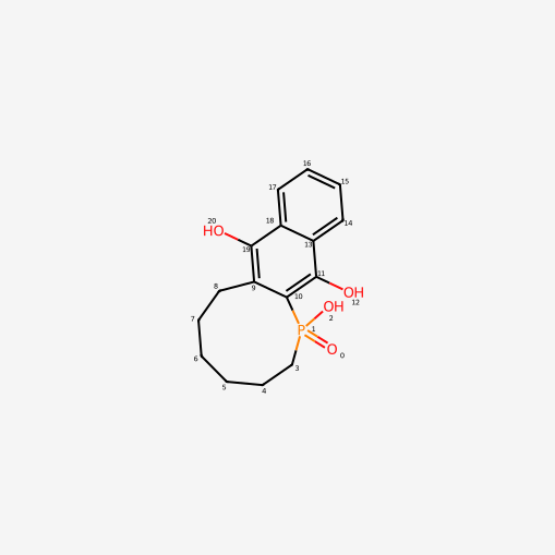 O=P1(O)CCCCCCc2c1c(O)c1ccccc1c2O